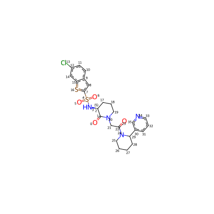 O=C1[C@@H](NS(=O)(=O)c2cc3ccc(Cl)cc3s2)CCCN1CC(=O)N1CCCCC1c1cccnc1